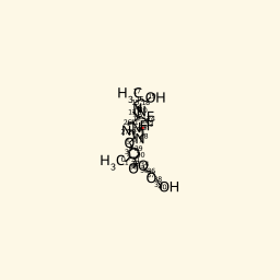 CCc1cc(Oc2nccn3c(-c4cn(CC(C)CO)nc4C(F)(F)F)cnc23)ccc1C(=O)OCCOCCO